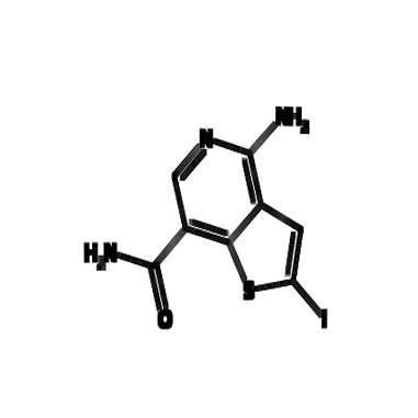 NC(=O)c1cnc(N)c2cc(I)sc12